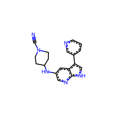 N#CN1CCC(Nc2cnc3[nH]cc(-c4cccnc4)c3c2)CC1